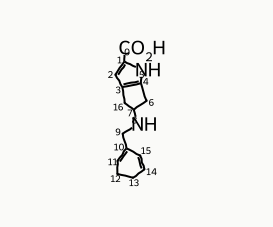 O=C(O)c1cc2c([nH]1)CC(NCC1=CCCC=C1)C2